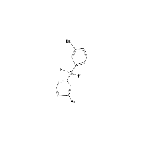 F[Si](F)(c1cccc(Br)c1)c1cccc(Br)c1